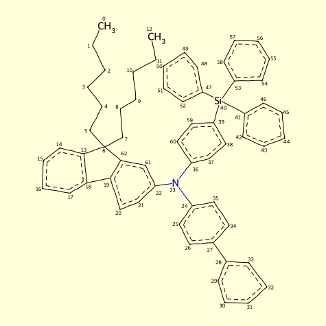 CCCCCCC1(CCCCCC)c2ccccc2-c2ccc(N(c3ccc(-c4ccccc4)cc3)c3ccc([Si](c4ccccc4)(c4ccccc4)c4ccccc4)cc3)cc21